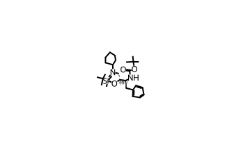 CN(C[C@@H](O[Si](C)(C)C(C)(C)C)[C@H](Cc1ccccc1)NC(=O)OC(C)(C)C)C1CCCCC1